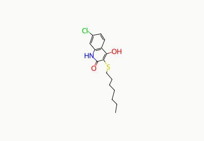 CCCCCCCSc1c(O)c2ccc(Cl)cc2[nH]c1=O